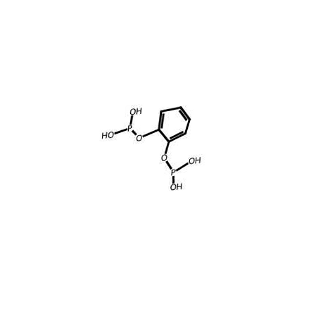 OP(O)Oc1ccccc1OP(O)O